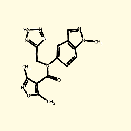 Cc1noc(C)c1C(=O)N(Cc1nn[nH]n1)c1ccc2c(cnn2C)c1